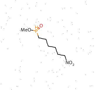 CO[PH](=O)CCCCCC[N+](=O)[O-]